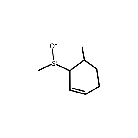 CC1CCC=CC1[S+](C)[O-]